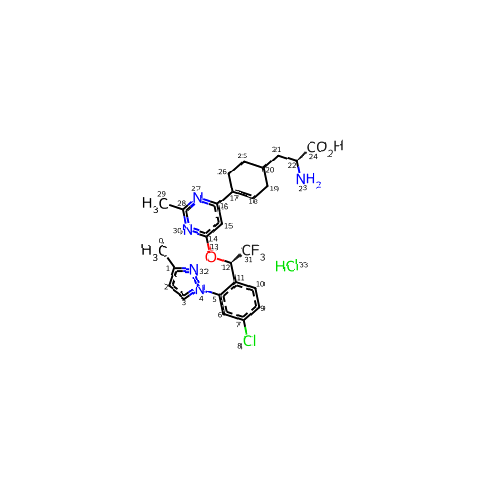 Cc1ccn(-c2cc(Cl)ccc2[C@@H](Oc2cc(C3=CCC(C[C@H](N)C(=O)O)CC3)nc(C)n2)C(F)(F)F)n1.Cl